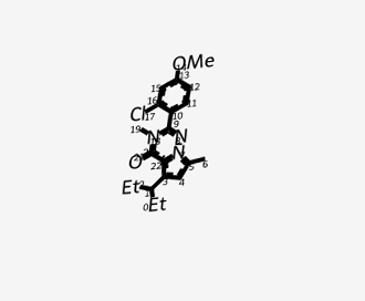 CCC(CC)c1cc(C)n2nc(-c3ccc(OC)cc3Cl)n(C)c(=O)c12